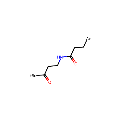 CC(=O)CCC(=O)NCCC(=O)C(C)(C)C